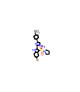 O=[N+]([O-])c1ccc(-c2c[nH]c(-c3[nH]c4ccc(Br)cc4c3S(=O)(=O)N3CCCC3)n2)cc1